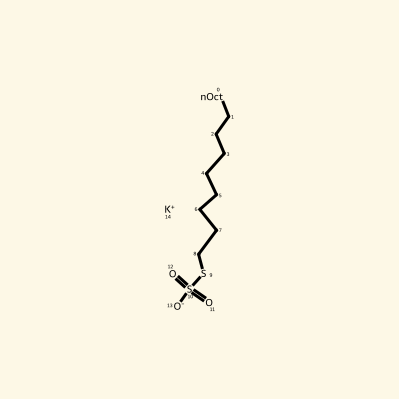 CCCCCCCCCCCCCCCCSS(=O)(=O)[O-].[K+]